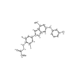 CCCc1nc(Oc2cccc(Cl)c2)nc2oc(-c3cc(C)c(OCC(=O)OC)c(C)c3)nc12